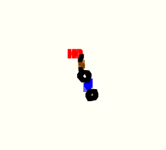 OCCSCc1ccc(N=Nc2ccccc2)cc1